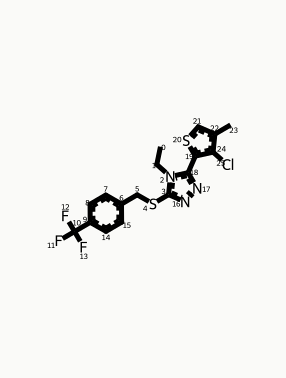 CCn1c(SCc2ccc(C(F)(F)F)cc2)nnc1-c1scc(C)c1Cl